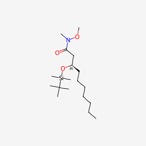 CCCCCCC[C@H](CC(=O)N(C)OC)O[Si](C)(C)C(C)(C)C